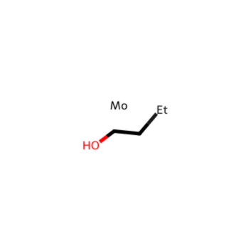 CCCCO.[Mo]